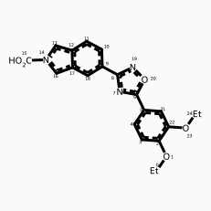 CCOc1ccc(-c2nc(-c3ccc4cn(C(=O)O)cc4c3)no2)cc1OCC